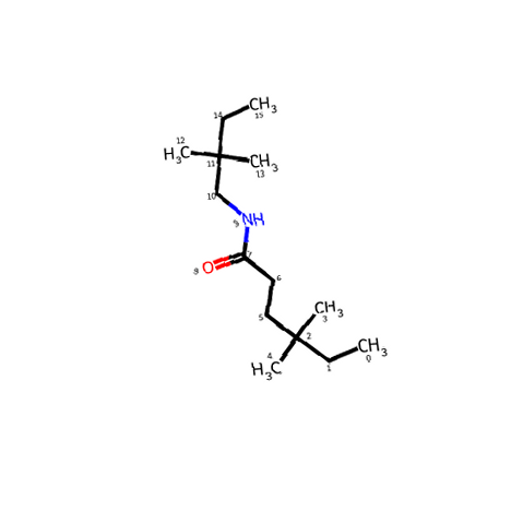 CCC(C)(C)CCC(=O)NCC(C)(C)CC